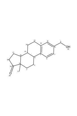 CC12CCC3c4ccc(CO)cc4CCC3C1CCC2=O